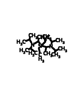 CC[Si](CC)(C(C)N(C(C)C)C(C)C)C(C)N(C(C)C)C(C)C